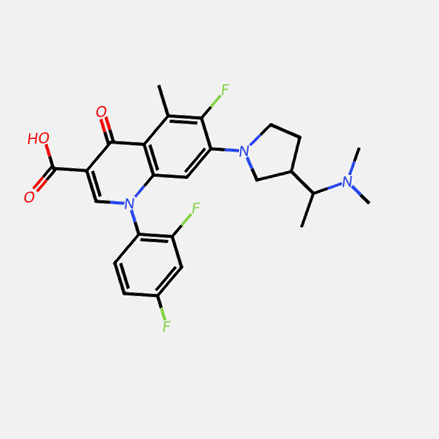 Cc1c(F)c(N2CCC(C(C)N(C)C)C2)cc2c1c(=O)c(C(=O)O)cn2-c1ccc(F)cc1F